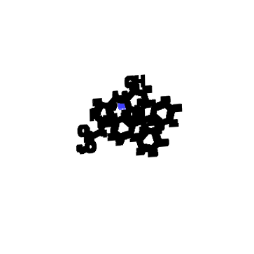 COC(=O)Cn1cc(/C=C2\CN(C(c3ccccc3)(c3ccccc3)c3ccccc3)CCC2O)cn1